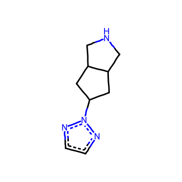 c1cnn(C2CC3CNCC3C2)n1